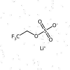 O=S(=O)([O-])OCC(F)(F)F.[Li+]